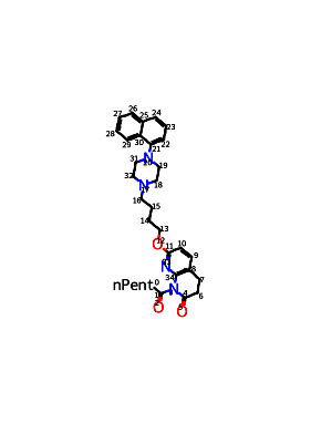 CCCCCC(=O)N1C(=O)CCc2ccc(OCCCCN3CCN(c4cccc5ccccc45)CC3)nc21